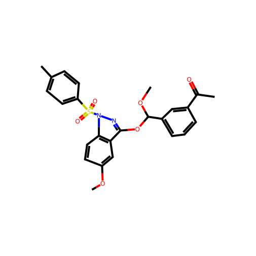 COc1ccc2c(c1)c(OC(OC)c1cccc(C(C)=O)c1)nn2S(=O)(=O)c1ccc(C)cc1